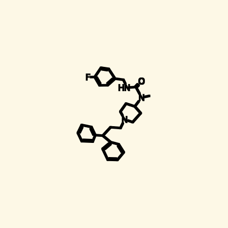 CN(C(=O)NCc1ccc(F)cc1)C1CCN(CCC(c2ccccc2)c2ccccc2)CC1